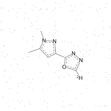 [2H]c1nnc(-c2cc(C)n(C)n2)o1